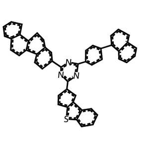 c1ccc2c(-c3ccc(-c4nc(-c5ccc6c(ccc7c8ccccc8ccc67)c5)nc(-c5ccc6sc7ccccc7c6c5)n4)cc3)cccc2c1